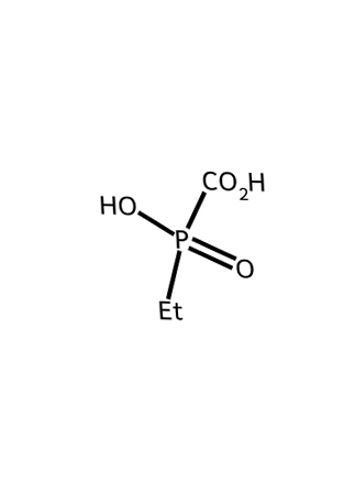 CCP(=O)(O)C(=O)O